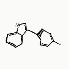 Fc1ccc(-c2c[nH]c3c[c]ccc23)cc1